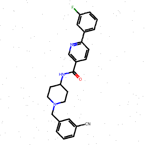 N#Cc1cccc(CN2CCC(NC(=O)c3ccc(-c4cccc(F)c4)nc3)CC2)c1